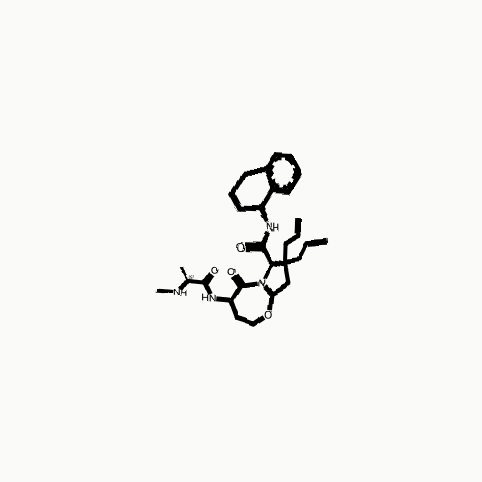 C=CCC1(CC=C)CC2OCCC(NC(=O)[C@H](C)NC)C(=O)N2C1C(=O)NC1CCCc2ccccc21